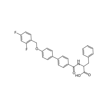 O=C(NC(Cc1ccccc1)C(=O)O)c1ccc(-c2ccc(OCc3ccc(F)cc3F)cc2)cc1